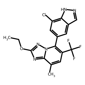 CCOc1nc2c(C)cc(C(F)(F)F)c(-c3cc(Cl)c4[nH]ncc4c3)n2n1